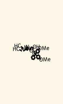 C#CCN(CC#C)Cc1cn([C@@H]2C[C@@H](O)[C@@H](COC(c3ccccc3)(c3ccc(OC)cc3)c3ccc(OC)cc3)O2)nn1